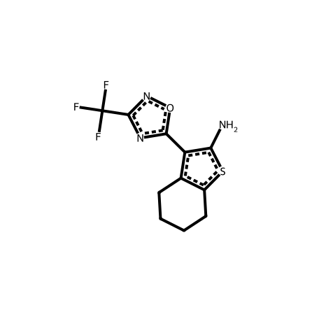 Nc1sc2c(c1-c1nc(C(F)(F)F)no1)CCCC2